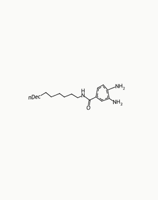 CCCCCCCCCCCCCCCCNC(=O)c1ccc(N)c(N)c1